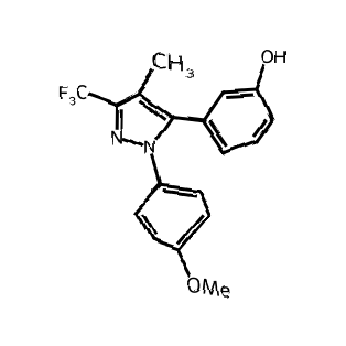 COc1ccc(-n2nc(C(F)(F)F)c(C)c2-c2cccc(O)c2)cc1